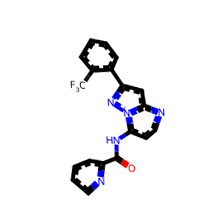 O=C(Nc1ccnc2cc(-c3ccccc3C(F)(F)F)nn12)c1ccccn1